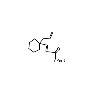 C=CCC1(C=CC(=O)CCCCC)CCCCC1